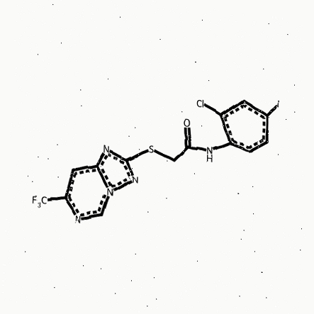 O=C(CSc1nc2cc(C(F)(F)F)ncn2n1)Nc1ccc(I)cc1Cl